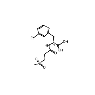 CCc1cccc(C[C@H](NC(=O)CCS(C)(=O)=O)B(O)O)c1